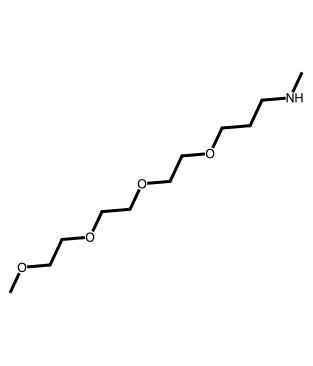 CNCCCOCCOCCOCCOC